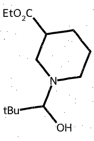 CCOC(=O)C1CCCN(C(O)C(C)(C)C)C1